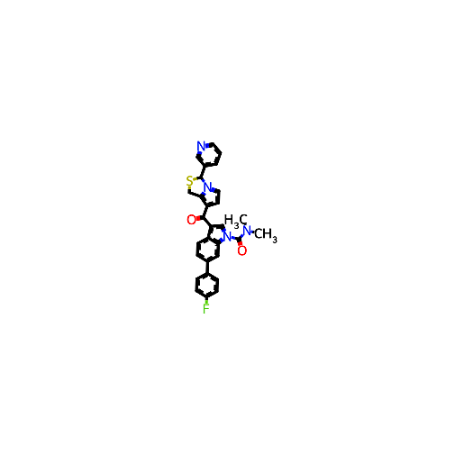 CN(C)C(=O)n1cc(C(=O)c2ccn3c2CSC3c2cccnc2)c2ccc(-c3ccc(F)cc3)cc21